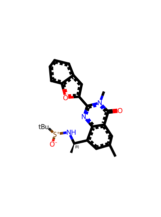 Cc1cc([C@@H](C)N[S+]([O-])C(C)(C)C)c2nc(-c3cc4ccccc4o3)n(C)c(=O)c2c1